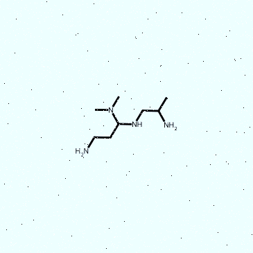 CC(N)CNC(CCN)N(C)C